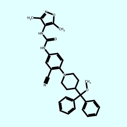 COC(c1ccccc1)(c1ccccc1)C1CCN(c2ccc(NC(=O)Nc3c(C)noc3C)cc2C#N)CC1